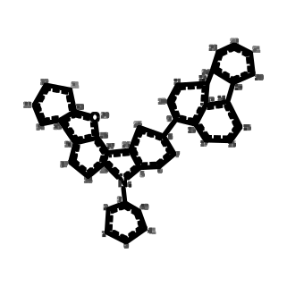 c1ccc(-n2c3ccc(-c4ccc5c6c(cccc46)-c4ccccc4-5)cc3c3c4oc5ccccc5c4ccc32)cc1